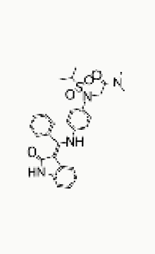 CC(C)S(=O)(=O)N(CC(=O)N(C)C)c1ccc(NC(=C2C(=O)Nc3ccccc32)c2ccccc2)cc1